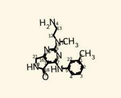 Cc1cccc(Nc2nc(N(C)CCN)nc3c2C(=O)NC3)c1